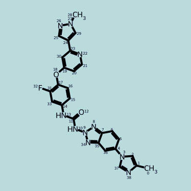 Cc1cn(-c2ccc3nn(NC(=O)Nc4ccc(Oc5ccnc(-c6cnn(C)c6)c5)c(F)c4)nc3c2)cn1